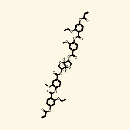 C=CC(=O)Oc1ccc(C(=O)Oc2ccc(C(=O)O[C@H]3CO[C@H]4[C@@H]3OC[C@H]4OC(=O)c3ccc(OC(=O)c4ccc(OC(=O)C=C)cc4OCC)c(OC)c3)cc2OC)c(OCC)c1